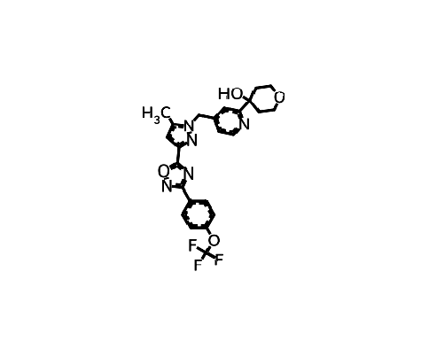 Cc1cc(-c2nc(-c3ccc(OC(F)(F)F)cc3)no2)nn1Cc1ccnc(C2(O)CCOCC2)c1